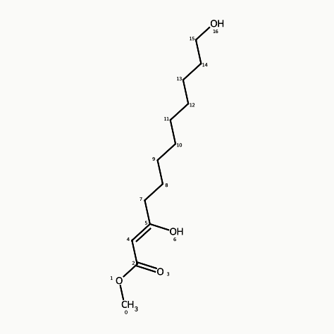 COC(=O)C=C(O)CCCCCCCCCO